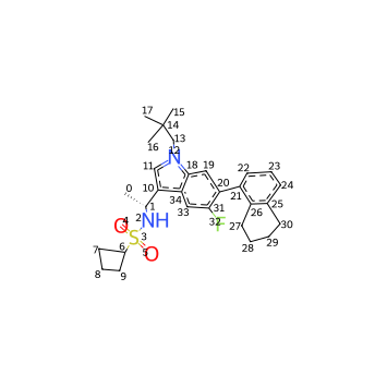 C[C@@H](NS(=O)(=O)C1CCC1)c1cn(CC(C)(C)C)c2cc(-c3cccc4c3CCCC4)c(F)cc12